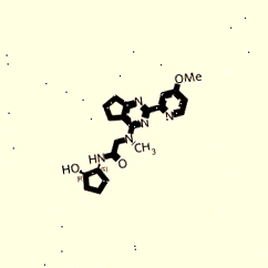 COc1ccnc(-c2nc3c(c(N(C)CC(=O)N[C@@H]4CCC[C@H]4O)n2)CCC3)c1